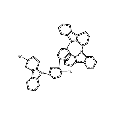 N#Cc1ccc2c(c1)c1ccccc1n2-c1ccc(C#N)c(-c2ccc(-n3c4ccccc4c4cccc(-n5c6ccccc6c6ccccc65)c43)cc2)c1